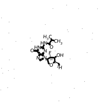 [2H]C[C@H]1OC[C@@H](n2cnc3c(=O)[nH]c(NC(=O)C(C)C)nc32)[C@H](F)C1O